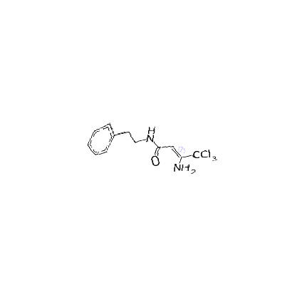 N/C(=C\C(=O)NCCc1ccccc1)C(Cl)(Cl)Cl